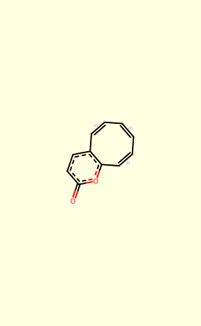 O=c1ccc2c(o1)\C=C/C=C\C=C/2